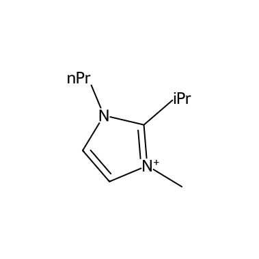 CCCn1cc[n+](C)c1C(C)C